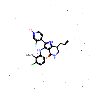 C=CCC1CNC(=O)c2c1[nH]c(-c1cc[n+]([O-])cc1F)c2Nc1cccc(Cl)c1OC